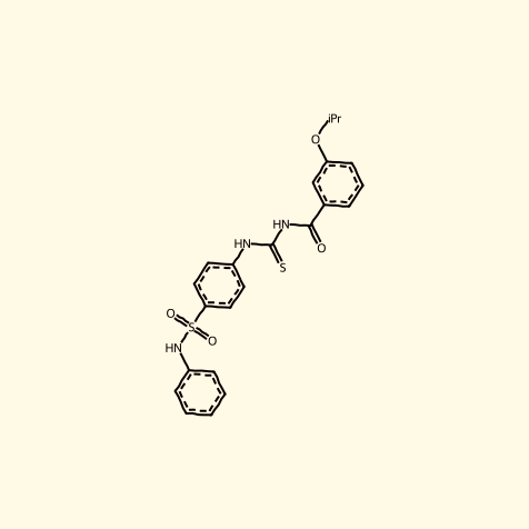 CC(C)Oc1cccc(C(=O)NC(=S)Nc2ccc(S(=O)(=O)Nc3ccccc3)cc2)c1